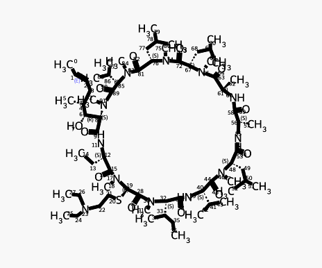 C/C=C/C[C@@H](C)[C@@H](O)[C@H]1C(=O)N[C@@H](CC)C(=O)N(C)[C@H](SCCN(CC)CC)C(=O)N(C)[C@@H](C(C)CC)C(=O)N[C@@H](C(C)C)C(=O)N(C)[C@@H](CC(C)C)C(=O)N[C@@H](C)C(=O)N[C@H](C)C(=O)N(C)[C@@H](CC(C)C)C(=O)N(C)[C@@H](CC(C)C)C(=O)N(C)[C@@H](C(C)C)C(=O)N1C